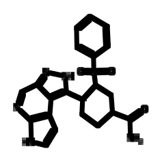 NC(=O)C1CC[C](c2[nH]nc3cnc4[nH]ccc4c23)C(S(=O)(=O)c2ccccc2)C1